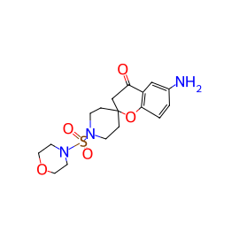 Nc1ccc2c(c1)C(=O)CC1(CCN(S(=O)(=O)N3CCOCC3)CC1)O2